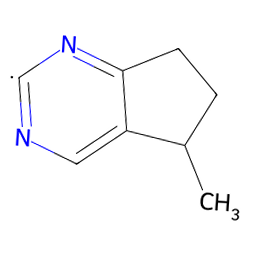 CC1CCc2n[c]ncc21